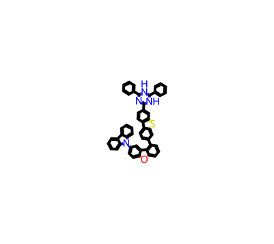 c1ccc(C2N=C(c3ccc4c(c3)sc3cc(-c5cccc6oc7ccc(-n8c9ccccc9c9ccccc98)cc7c56)ccc34)NC(c3ccccc3)N2)cc1